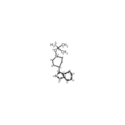 CC(C)(C)ON1CCC(c2nsc3ccccc23)CC1